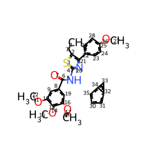 CCc1sc(NC(=O)c2cc(OC)c(OC)c(OC)c2)nc1-c1ccc(OC)cc1.c1cc2cc-2c1